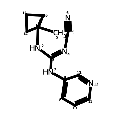 CC1(NC(=NC#N)Nc2cccnc2)CCC1